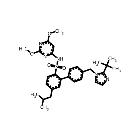 COc1cc(NS(=O)(=O)c2ccc(CC(C)C)cc2-c2ccc(Cn3ccnc3C(C)(C)C)cc2)nc(OC)n1